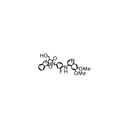 COc1cc2nccc(Nc3ccc(NC(=O)C(CO)N4Cc5ccccc5C4=O)cc3F)c2cc1OC